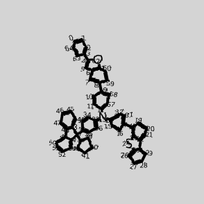 c1ccc(-c2cc3cc(-c4ccc(N(c5ccc(-c6cccc7c6sc6ccccc67)cc5)c5ccc(C6(C7CCCC7)c7ccccc7-c7ccccc76)cc5)cc4)ccc3o2)cc1